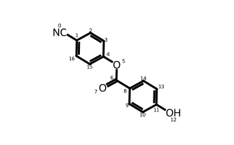 N#Cc1ccc(OC(=O)c2ccc(O)cc2)cc1